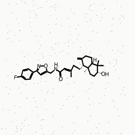 C=C1CC[C@@H]2C(C)(C)[C@H](O)CC[C@@]2(C)[C@@H]1CC/C(C)=C/C(=O)NCc1cc(-c2ccc(F)cc2)no1